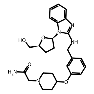 NC(=O)CN1CCC(Oc2cccc(CNc3nc4ccccc4n3[C@H]3CC[C@@H](CO)O3)c2)CC1